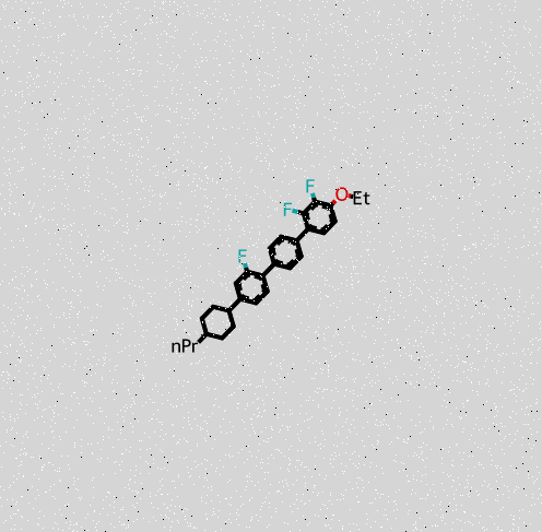 CCCC1CCC(c2ccc(-c3ccc(-c4ccc(OCC)c(F)c4F)cc3)c(F)c2)CC1